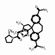 C=C(N)c1ccc2c(c1)CCc1cc(C(N)=O)ccc1C2(C[C@H](C)NCC(=O)N1CCC[C@H]1C#N)c1nnn(C)n1